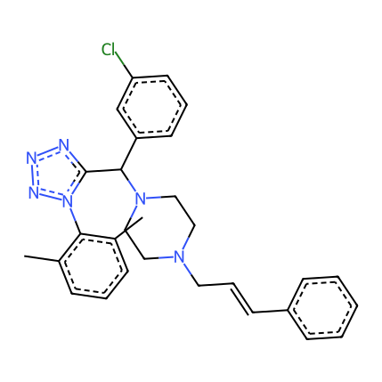 Cc1cccc(C)c1-n1nnnc1C(c1cccc(Cl)c1)N1CCN(CC=Cc2ccccc2)CC1